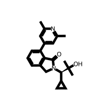 Cc1cc(-c2cccc3c2C(=O)N([C@H](C2CC2)C(C)(C)O)C3)cc(C)n1